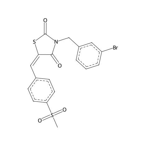 CS(=O)(=O)c1ccc(C=C2SC(=O)N(Cc3cccc(Br)c3)C2=O)cc1